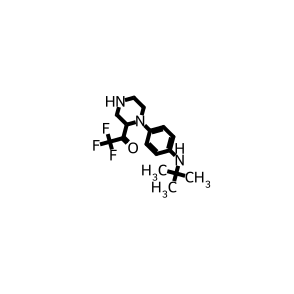 CC(C)(C)Nc1ccc(N2CCNCC2C(=O)C(F)(F)F)cc1